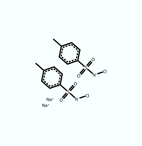 Cc1ccc(S(=O)(=O)[N-]Cl)cc1.Cc1ccc(S(=O)(=O)[N-]Cl)cc1.[Na+].[Na+]